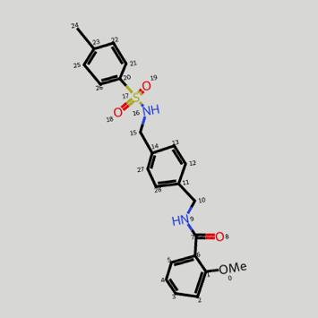 COc1ccccc1C(=O)NCc1ccc(CNS(=O)(=O)c2ccc(C)cc2)cc1